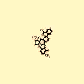 CCC(=O)c1ccccc1-c1ccc2c(c1)C(C(=O)O)C1(CCCC1)N(Cc1ccc(C(F)(F)F)c(F)c1)C2=O